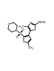 CC(=O)Nc1nc(C)c(-c2cc(C)sc2S(=O)(=O)N2CCOCC2)s1